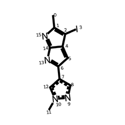 CC1=C(I)C2=CC(c3cnn(C)c3)=NC2=N1